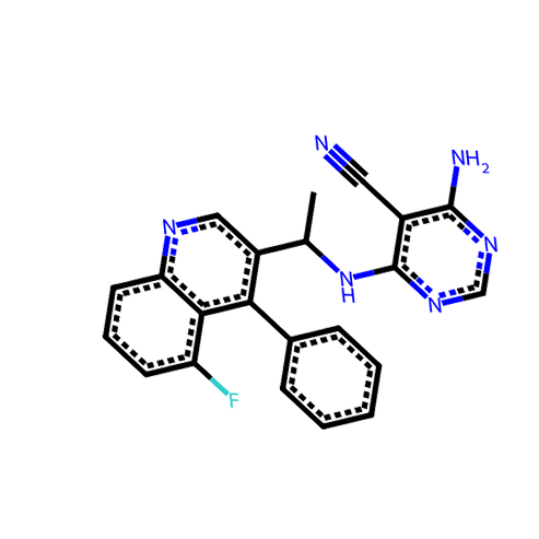 CC(Nc1ncnc(N)c1C#N)c1cnc2cccc(F)c2c1-c1ccccc1